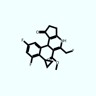 COC(=O)C1=C(CF)NC2=C(C(=O)CC2)C1c1cc(F)cc(F)c1C1CC1